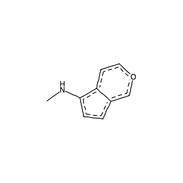 CNc1ccc2coccc1-2